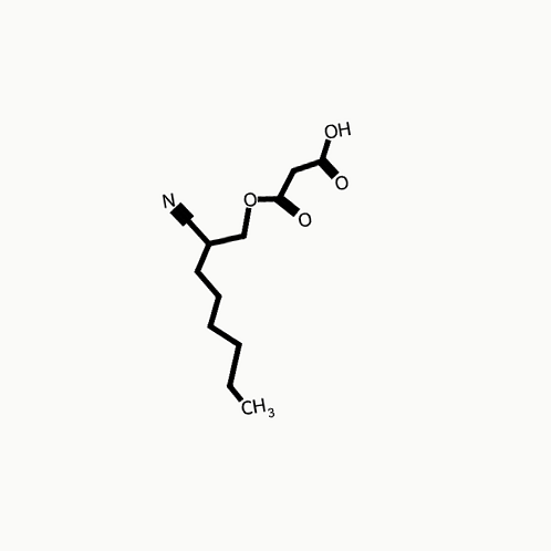 CCCCCCC(C#N)COC(=O)CC(=O)O